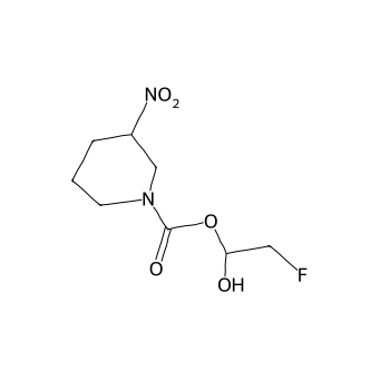 O=C(OC(O)CF)N1CCCC([N+](=O)[O-])C1